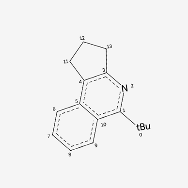 CC(C)(C)c1nc2c(c3ccccc13)CCC2